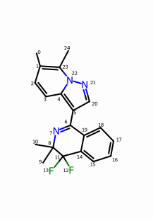 Cc1ccc2c(C3=NC(C)(C)C(F)(F)c4ccccc43)cnn2c1C